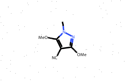 COc1nn(C)c(OC)c1C#N